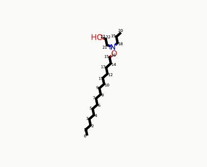 CCCCCCCCCCCCCCCCON(CCC)CCO